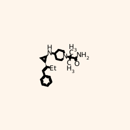 CC/C(=C\c1ccccc1)[C@@H]1C[C@H]1NC1CCN(C(C)(C)C(N)=O)CC1